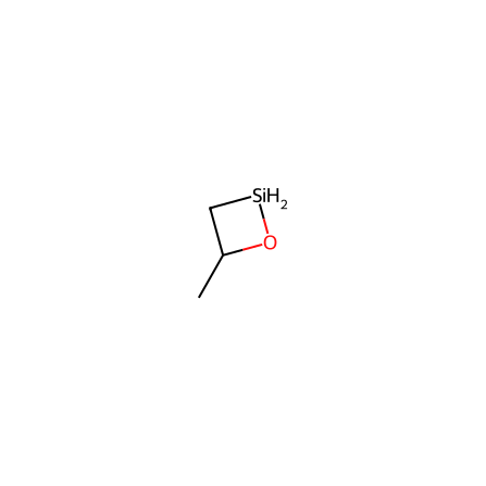 CC1C[SiH2]O1